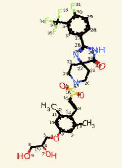 Cc1cc(OC[C@@H](O)CO)cc(C)c1C=CS(=O)(=O)N1CCC2(CC1)N=C(c1ccc(F)c(C(F)(F)F)c1)NC2=O